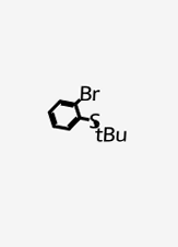 CC(C)(C)Sc1ccccc1Br